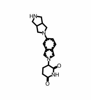 O=C1CCC(n2cc3ccc(N4CC5CNCC5C4)cc3c2)C(=O)N1